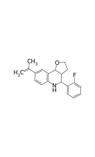 C=C(C)c1ccc2c(c1)C1OCCC1C(c1ccccc1F)N2